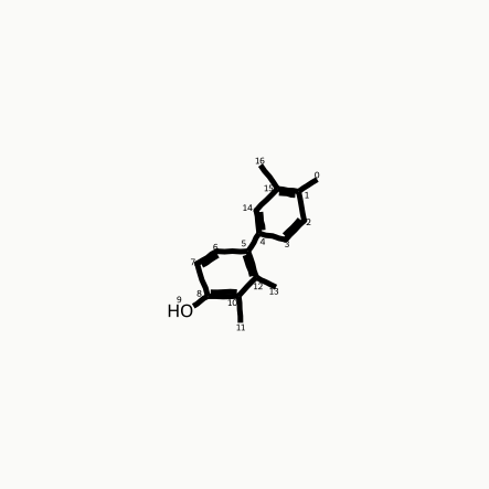 Cc1ccc(-c2ccc(O)c(C)c2C)cc1C